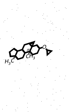 C[C@@]12CCCC1C1CC3=CC34CC(OC3CC3)CC[C@]4(C)C1CC2